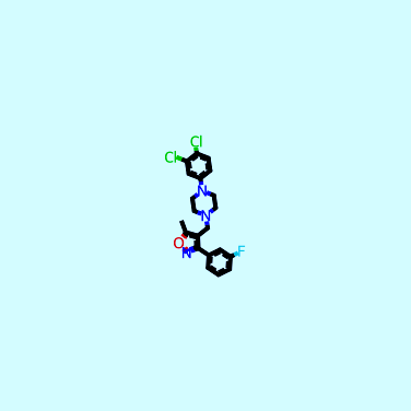 Cc1onc(-c2cccc(F)c2)c1CN1CCN(c2ccc(Cl)c(Cl)c2)CC1